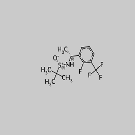 C[C@@H](N[S@@+]([O-])C(C)(C)C)c1cccc(C(F)(F)F)c1F